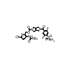 CC(C)(C)C(=O)Nc1ccc(Cl)nc1COC(=O)N1CC2=C(C1)CN(C(=O)c1cc(F)c(S(N)(=O)=O)cc1F)C2